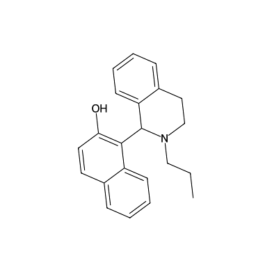 CCCN1CCc2ccccc2C1c1c(O)ccc2ccccc12